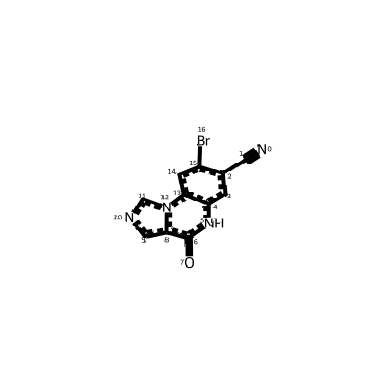 N#Cc1cc2[nH]c(=O)c3cncn3c2cc1Br